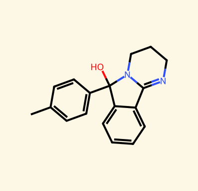 Cc1ccc(C2(O)c3ccccc3C3=NCCCN32)cc1